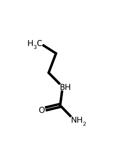 CCCBC(N)=O